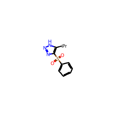 CC(C)c1[nH]nnc1S(=O)(=O)c1ccccc1